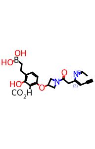 C#C/C=C(CC(=O)N1CC(Oc2ccc(CCB(O)O)c(O)c2C(=O)O)C1)\N=C/C